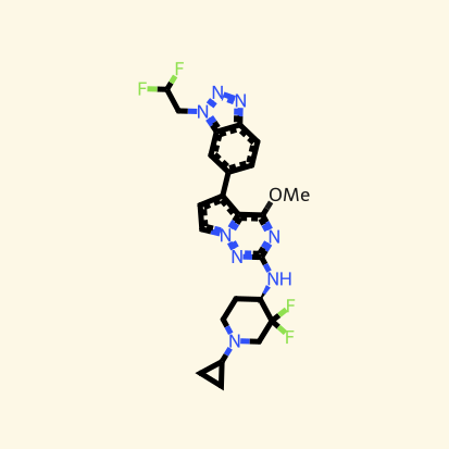 COc1nc(N[C@@H]2CCN(C3CC3)CC2(F)F)nn2ccc(-c3ccc4nnn(CC(F)F)c4c3)c12